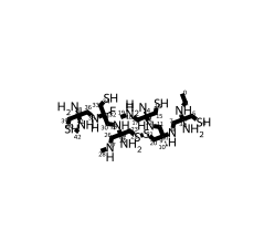 CCN[C@@](N)(CS)CN[C@](C)(CN[C@@](N)(CS)CNC)CSSC[C@@](N)(CNC)NC[C@](F)(CS)NC[C@](N)(CS)NC